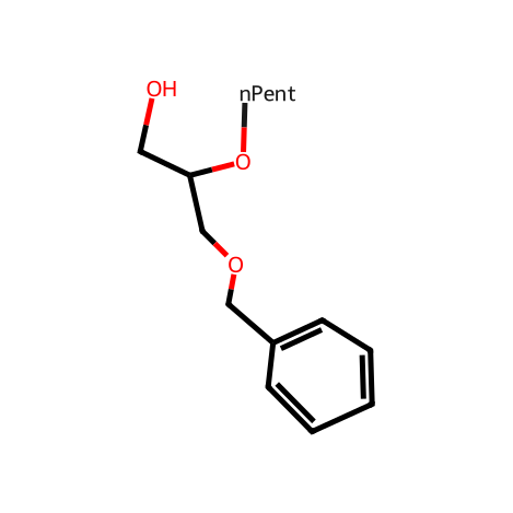 CCCCCOC(CO)COCc1ccccc1